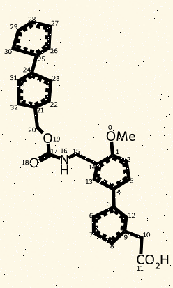 COc1ccc(-c2cccc(CC(=O)O)c2)cc1CNC(=O)OCc1ccc(-c2ccccc2)cc1